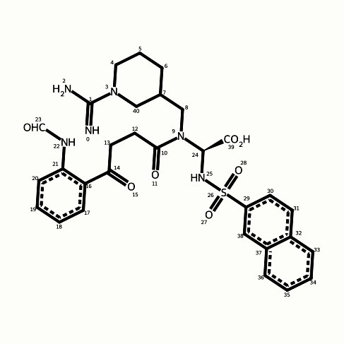 N=C(N)N1CCCC(CN(C(=O)CCC(=O)c2ccccc2NC=O)[C@H](NS(=O)(=O)c2ccc3ccccc3c2)C(=O)O)C1